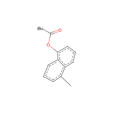 CCC(C)C(=O)Oc1cccc2c(C)cccc12